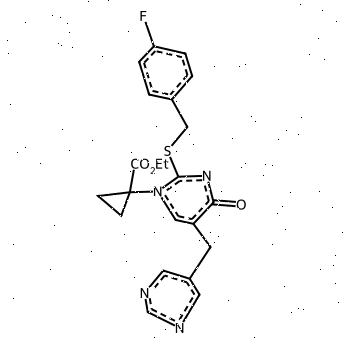 CCOC(=O)C1(n2cc(Cc3cncnc3)c(=O)nc2SCc2ccc(F)cc2)CC1